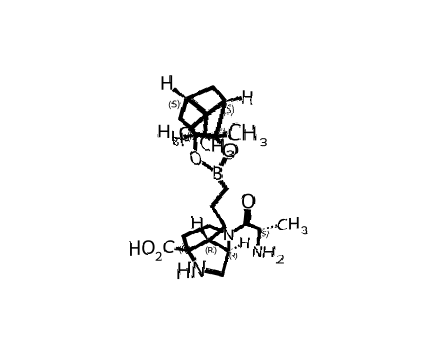 C[C@H](N)C(=O)N1CC[C@@]2(C(=O)O)NC[C@H]1[C@H]2CCCB1O[C@@H]2C[C@@H]3C[C@@H](C3(C)C)[C@]2(C)O1